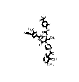 CCc1c(N2CCN(C(=O)c3ncnc(C)c3O)CC2)c(=O)n2nc(-c3cc(C#N)c(C)s3)nc2n1CC(=O)Nc1ccc(C(F)(F)F)cc1Cl